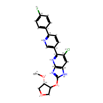 CCCO[C@H]1COCC1Oc1nc2nc(-c3ccc(-c4ccc(F)cc4)nc3)c(Cl)cc2[nH]1